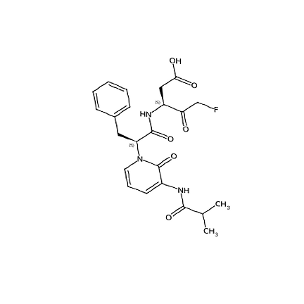 CC(C)C(=O)Nc1cccn([C@@H](Cc2ccccc2)C(=O)N[C@@H](CC(=O)O)C(=O)CF)c1=O